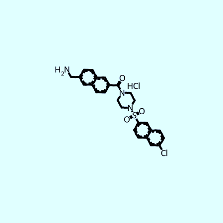 Cl.NCc1ccc2cc(C(=O)N3CCN(S(=O)(=O)c4ccc5cc(Cl)ccc5c4)CC3)ccc2c1